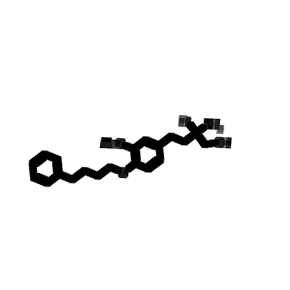 CCC(N)(CO)CCc1ccc(OCCCCc2ccccc2)c(OC)c1